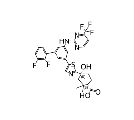 CC1(C)C[C@@](O)(c2ncc(-c3cc(Nc4nccc(C(F)(F)F)n4)cc(-c4cccc(F)c4F)c3)s2)CC[C@@H]1C(=O)O